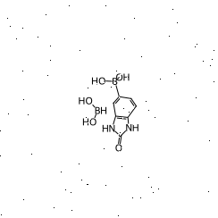 O=c1[nH]c2ccc(B(O)O)cc2[nH]1.OBO